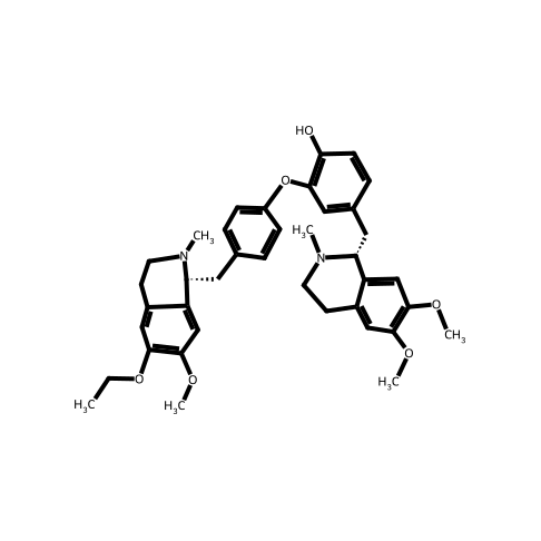 CCOc1cc2c(cc1OC)[C@@H](Cc1ccc(Oc3cc(C[C@@H]4c5cc(OC)c(OC)cc5CCN4C)ccc3O)cc1)N(C)CC2